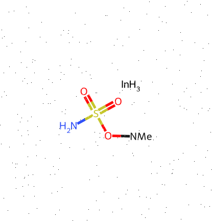 CNOS(N)(=O)=O.[InH3]